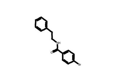 O=C(NCCc1ccccc1)c1ccc(Br)cc1